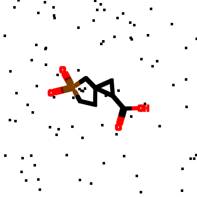 O=C(O)C1CC12CCS(=O)(=O)C2